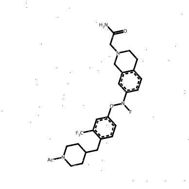 CC(=O)N1CCC(Cc2ccc(ON(F)c3ccc4c(c3)CN(CC(N)=O)CC4)cc2C(F)(F)F)CC1